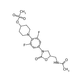 CC(=O)NCC1CN(c2cc(F)c(N3CCC(OS(C)(=O)=O)CC3)c(F)c2)C(=O)O1